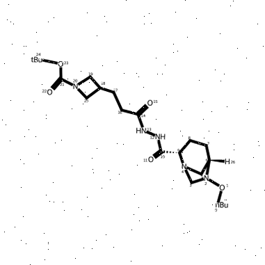 CCCCON1CN2C[C@@H]1CC[C@H]2C(=O)NNC(=O)CCC1CN(C(=O)OC(C)(C)C)C1